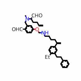 C=CCCC(C=O)N(C)Cc1cc(OCNCCCCC(=C)c2ccc(CC)c(CCc3ccccc3)c2)ccc1C=O